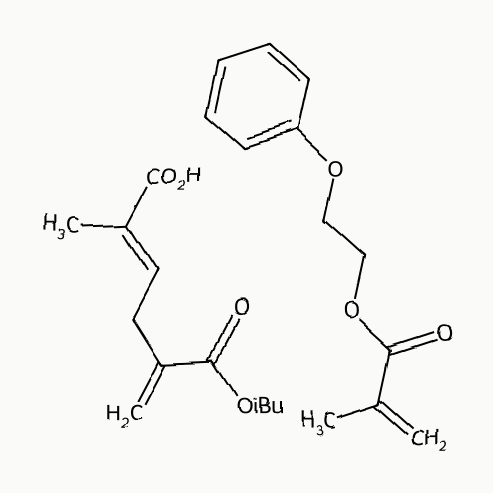 C=C(C)C(=O)OCCOc1ccccc1.C=C(CC=C(C)C(=O)O)C(=O)OCC(C)C